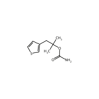 CC(C)(Cc1ccsc1)OC(N)=O